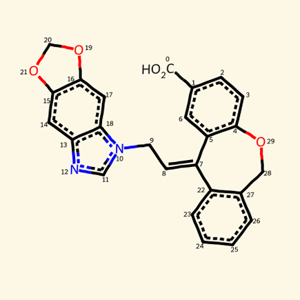 O=C(O)c1ccc2c(c1)C(=CCn1cnc3cc4c(cc31)OCO4)c1ccccc1CO2